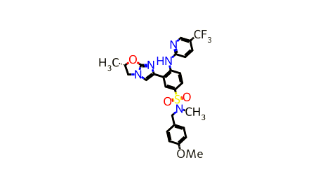 COc1ccc(CN(C)S(=O)(=O)c2ccc(Nc3ccc(C(F)(F)F)cn3)c(-c3cn4c(n3)O[C@@H](C)C4)c2)cc1